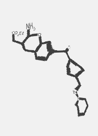 CCOC(=O)CC1Cc2ccc(C(=O)c3ccc(C=NN4CCCCC4)cc3)cc2OC1N